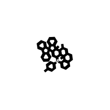 Cc1ccc(N2c3cccc4c3C3(C)C(=CC(C)C5=C3C2(C)C=C2C5(C)c3ccccc3C23c2ccccc2-c2ccccc23)C=C4)cc1